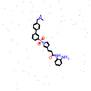 CN(C)Cc1ccc(-c2cccc(S(=O)(=O)n3ccc(/C=C/C(=O)Nc4ccccc4N)c3)c2)cc1